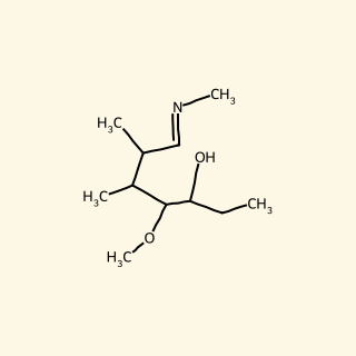 CCC(O)C(OC)C(C)C(C)C=NC